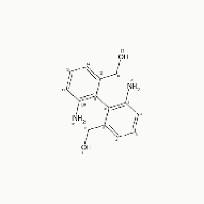 Nc1cccc(CO)c1-c1c(N)cccc1CO